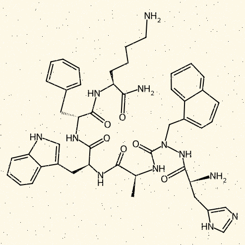 C[C@H](NC(=O)N(Cc1cccc2ccccc12)NC(=O)[C@@H](N)Cc1cnc[nH]1)C(=O)N[C@@H](Cc1c[nH]c2ccccc12)C(=O)N[C@H](Cc1ccccc1)C(=O)N[C@@H](CCCCN)C(N)=O